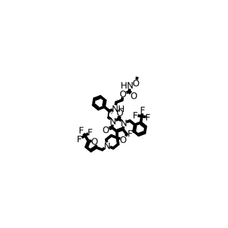 CONC(=O)OCCN[C@@H](Cn1c(=O)c2c(n(Cc3c(F)cccc3C(F)(F)F)c1=O)COC21CCN(Cc2ccc(C(F)(F)F)o2)CC1)c1ccccc1